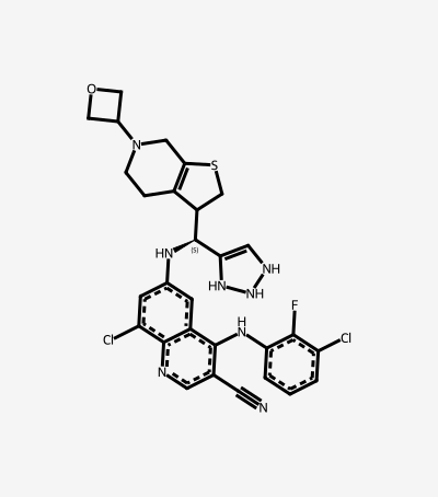 N#Cc1cnc2c(Cl)cc(N[C@H](C3=CNNN3)C3CSC4=C3CCN(C3COC3)C4)cc2c1Nc1cccc(Cl)c1F